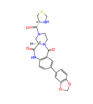 O=C1Nc2ccc(-c3ccc4c(c3)OCO4)cc2C(=O)N2CCN(C(=O)[C@@H]3CSCN3)C[C@H]12